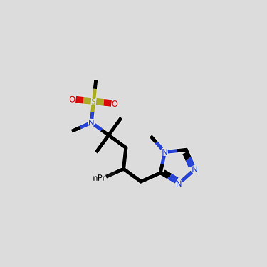 CCCC(Cc1nncn1C)CC(C)(C)N(C)S(C)(=O)=O